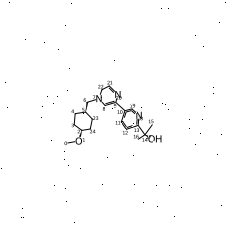 CO[C@H]1CC[C@@H](CN2C=C(c3ccc(C(C)(C)O)nc3)N=CC2)CC1